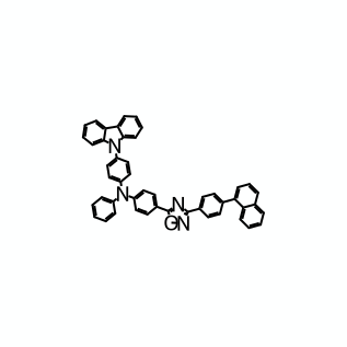 c1ccc(N(c2ccc(-c3nc(-c4ccc(-c5cccc6ccccc56)cc4)no3)cc2)c2ccc(-n3c4ccccc4c4ccccc43)cc2)cc1